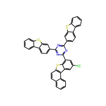 Clc1cc(-c2nc(-c3ccc4c(c3)sc3ccccc34)nc(-c3ccc4c(c3)sc3ccccc34)n2)c2sc3ccc4ccccc4c3c2c1